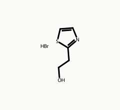 Br.OCCc1nccs1